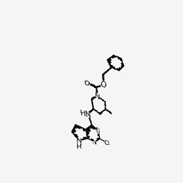 CC1CC(Nc2nc(Cl)nc3[nH]ccc23)CN(C(=O)OCc2ccccc2)C1